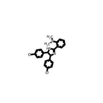 CN(C)c1ccccc1C1=NC(c2ccc(Cl)cc2)C(c2ccc(Cl)cc2)N1